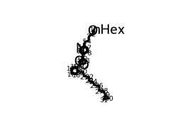 CCCCCCOCCCCc1ccc(C2=COC(c3ccccc3CCCCCCCCCC3CC3)O2)cn1